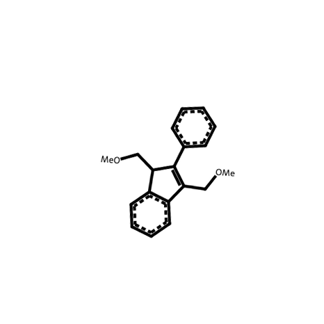 COCC1=C(c2ccccc2)C(COC)c2ccccc21